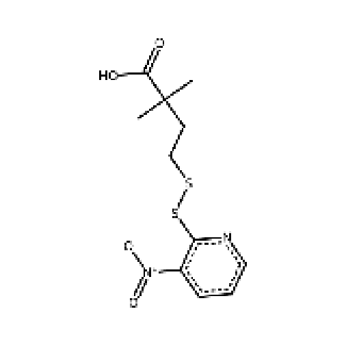 CC(C)(CCSSc1ncccc1[N+](=O)[O-])C(=O)O